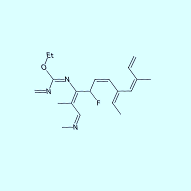 C=C\C(C)=C/C(/C=C\C(F)C(/N=C(\N=C)OCC)=C(C)\C=N/C)=C\C